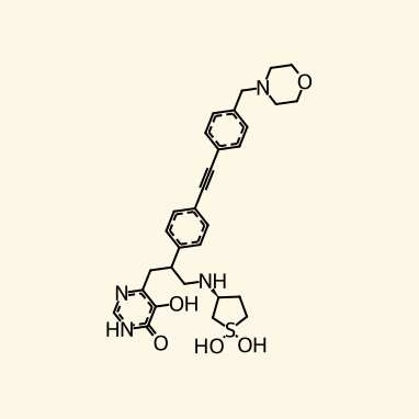 O=c1[nH]cnc(CC(CN[C@H]2CCS(O)(O)C2)c2ccc(C#Cc3ccc(CN4CCOCC4)cc3)cc2)c1O